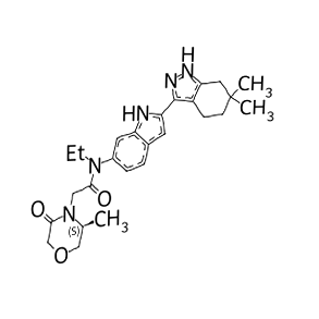 CCN(C(=O)CN1C(=O)COC[C@@H]1C)c1ccc2cc(-c3n[nH]c4c3CCC(C)(C)C4)[nH]c2c1